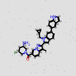 Cc1c(-c2cc3ccc(-c4ccc5[nH]ccc5c4)cc3n2CC2CC2)nn2cc(C(=O)N3C[C@H](N)C[C@@H](F)C3)ccc12